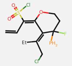 C=C/C(=C1/OCCC(F)(P)/C1=C(/CC)CCl)S(=O)(=O)Cl